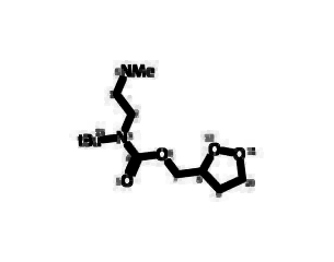 CNCCN(C(=O)OCC1CCOO1)C(C)(C)C